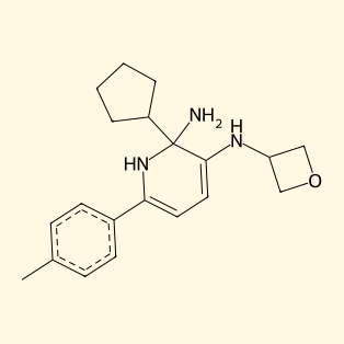 Cc1ccc(C2=CC=C(NC3COC3)C(N)(C3CCCC3)N2)cc1